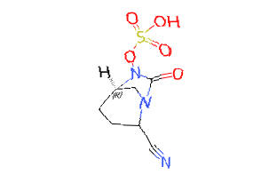 N#CC1CC[C@@H]2CN1C(=O)N2OS(=O)(=O)O